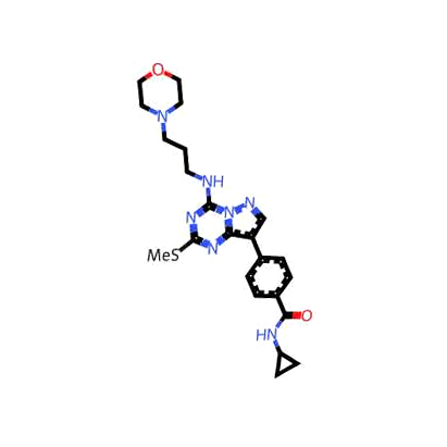 CSc1nc(NCCCN2CCOCC2)n2ncc(-c3ccc(C(=O)NC4CC4)cc3)c2n1